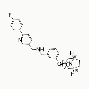 CN1[C@@H]2CC[C@H]1C[C@H](Oc1cccc(CNCc3ccc(-c4ccc(F)cc4)nc3)c1)C2